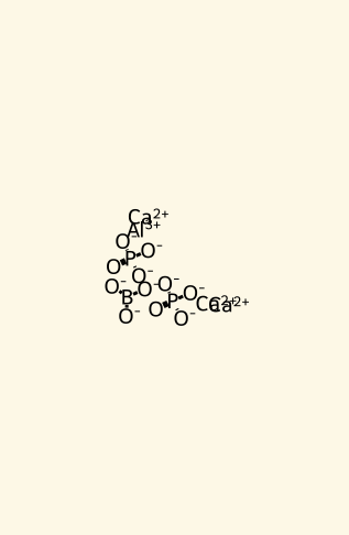 O=P([O-])([O-])[O-].O=P([O-])([O-])[O-].[Al+3].[Ca+2].[Ca+2].[Ca+2].[O-]B([O-])[O-]